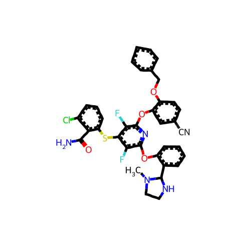 CN1CCNC1c1ccccc1Oc1nc(Oc2cc(C#N)ccc2OCc2ccccc2)c(F)c(Sc2cccc(Cl)c2C(N)=O)c1F